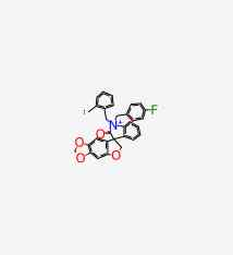 [CH]c1ccccc1C[N+]1(Cc2ccc(F)cc2)C(=O)C2(COc3cc4c(cc32)OCO4)c2ccccc21